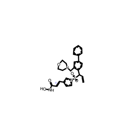 C=CC(c1ccc(-c2ccccc2)cc1CN1CCOCC1)S(=O)(=O)n1ccc(/C=C/C(=O)NO)c1